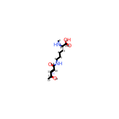 CN[C@@H](CCCCNC(=O)/C=C/C(C)=O)C(=O)O